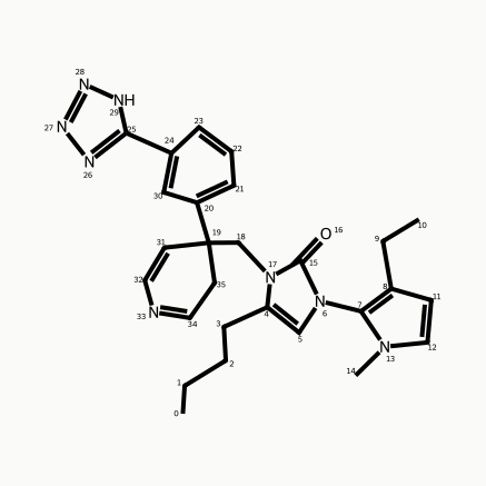 CCCCc1cn(-c2c(CC)ccn2C)c(=O)n1CC1(c2cccc(-c3nnn[nH]3)c2)C=CN=CC1